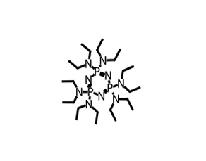 CCN(CC)P1(N(CC)CC)=NP(N(CC)CC)(N(CC)CC)=NP(N(CC)CC)(N(CC)CC)=N1